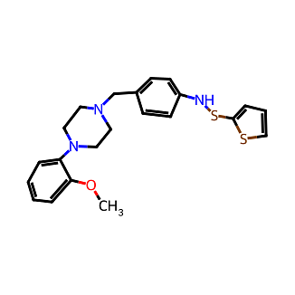 COc1ccccc1N1CCN(Cc2ccc(NSc3cccs3)cc2)CC1